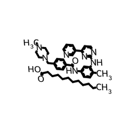 CCCCCCCCCCCC(=O)O.Cc1ccc(NC(=O)c2ccc(CN3CCN(C)CC3)cc2)cc1Nc1nccc(-c2cccnc2)n1